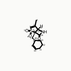 CC1=CS(=O)(=O)[C@@]2(C[C@@H]3C=CCCC3)C(=O)N[C@@H]12